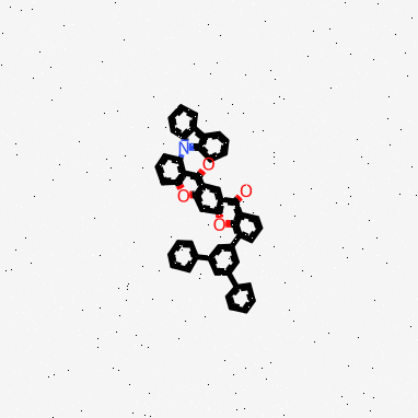 O=c1c2cc3c(=O)c4c(-n5c6ccccc6c6ccccc65)cccc4oc3cc2oc2c(-c3cc(-c4ccccc4)cc(-c4ccccc4)c3)cccc12